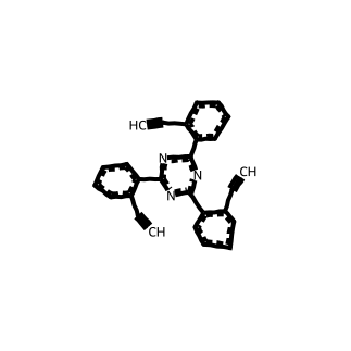 C#Cc1ccccc1-c1nc(-c2ccccc2C#C)nc(-c2ccccc2C#C)n1